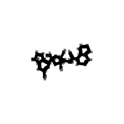 O=C(N[C@H]1[C@@H]2C[C@](O)(c3cc(Cl)cc4[nH]ncc34)C[C@@H]21)c1ccnc2ccccc12